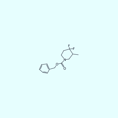 CC1CN(C(=O)OCc2ccccc2)CCC1(F)F